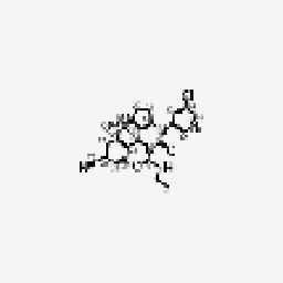 CCNC(=O)N1C(=O)N(c2cncc(Cl)c2)C2=C(C(=O)CC2)C1c1ccc(C#N)cc1S(C)(=O)=O